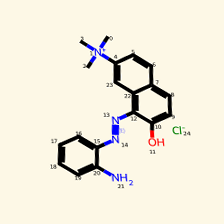 C[N+](C)(C)c1ccc2ccc(O)c(/N=N/c3ccccc3N)c2c1.[Cl-]